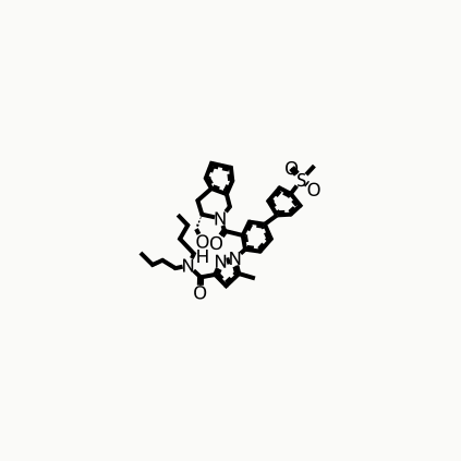 CCCCN(CCCC)C(=O)c1cc(C)n(-c2ccc(-c3ccc(S(C)(=O)=O)cc3)cc2C(=O)N2Cc3ccccc3C[C@H]2CO)n1